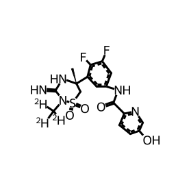 [2H]C([2H])([2H])N1C(=N)N[C@](C)(c2cc(NC(=O)c3ccc(O)cn3)cc(F)c2F)CS1(=O)=O